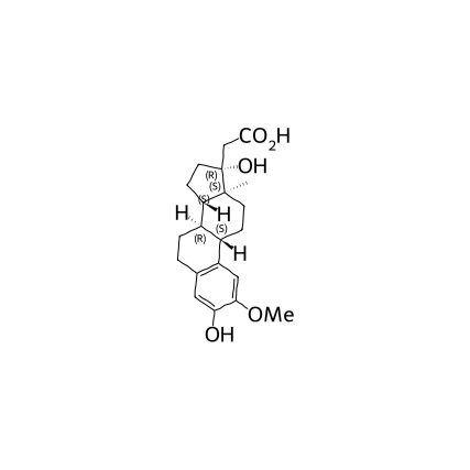 COc1cc2c(cc1O)CC[C@@H]1[C@@H]2CC[C@@]2(C)[C@H]1CC[C@@]2(O)CC(=O)O